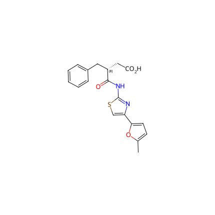 Cc1ccc(-c2csc(NC(=O)[C@@H](CC(=O)O)Cc3ccccc3)n2)o1